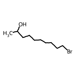 CC(O)CCCCCCCCBr